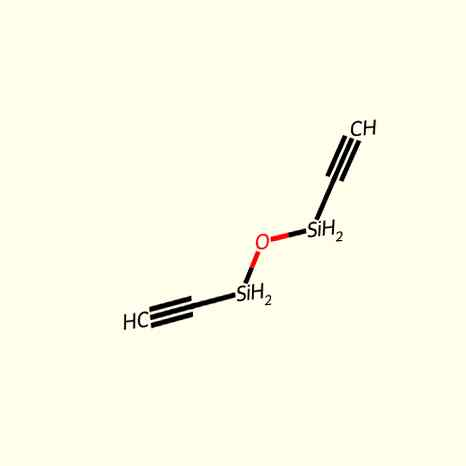 C#C[SiH2]O[SiH2]C#C